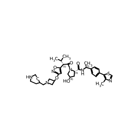 Cc1ncsc1-c1ccc([C@H](C)NC(=O)[C@@H]2C[C@@H](O)CN2C(=O)[C@H](c2cc(OC3CN(CC4CCNCC4)C3)no2)C(C)C)cc1